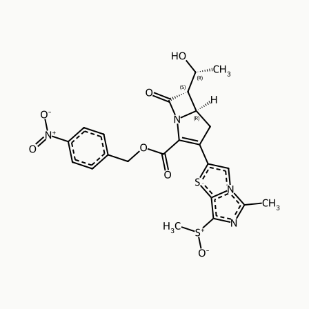 Cc1nc([S+](C)[O-])c2sc(C3=C(C(=O)OCc4ccc([N+](=O)[O-])cc4)N4C(=O)[C@H]([C@@H](C)O)[C@H]4C3)cn12